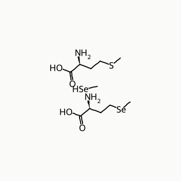 CSCC[C@H](N)C(=O)O.C[SeH].C[Se]CC[C@H](N)C(=O)O